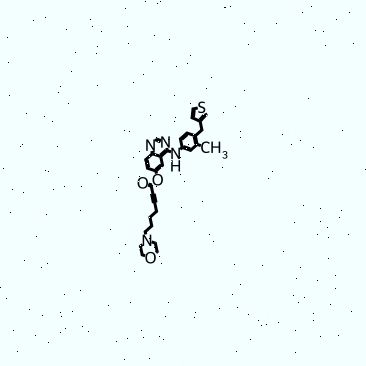 Cc1cc(Nc2ncnc3ccc(OC(=O)C#CCCCCN4CCOCC4)cc23)ccc1Cc1ccsc1